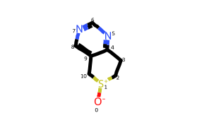 [O-][S+]1CCc2ncncc2C1